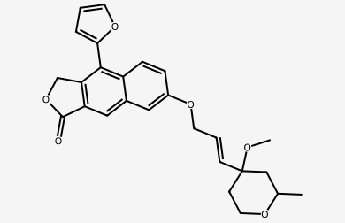 COC1(C=CCOc2ccc3c(-c4ccco4)c4c(cc3c2)C(=O)OC4)CCOC(C)C1